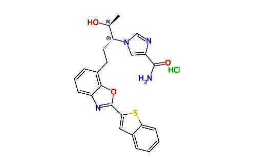 C[C@H](O)[C@@H](CCc1cccc2nc(-c3cc4ccccc4s3)oc12)n1cnc(C(N)=O)c1.Cl